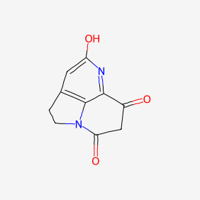 O=C1CC(=O)N2CCc3cc(O)nc1c32